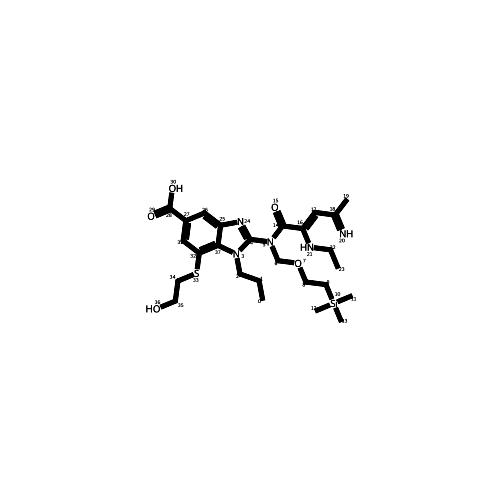 CCCn1c(N(COCC[Si](C)(C)C)C(=O)/C(=C/C(C)=N)NCC)nc2cc(C(=O)O)cc(SCCO)c21